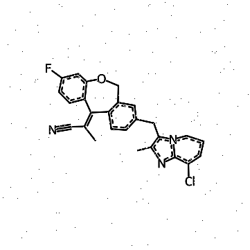 C/C(C#N)=C1\c2ccc(Cc3c(C)nc4c(Cl)cccn34)cc2COc2cc(F)ccc21